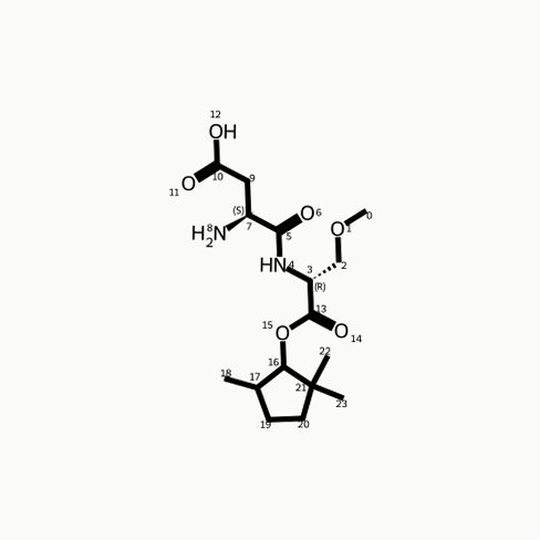 COC[C@@H](NC(=O)[C@@H](N)CC(=O)O)C(=O)OC1C(C)CCC1(C)C